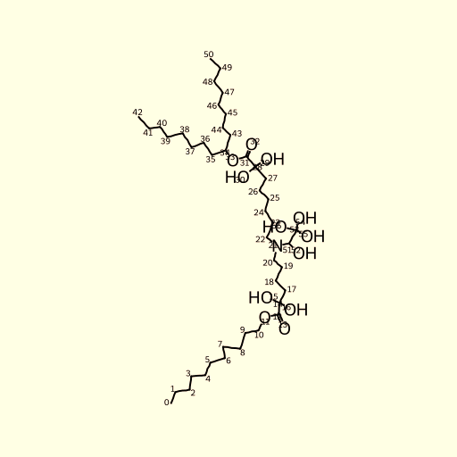 CCCCCCCCCCCOC(=O)C(O)(O)CCCCN(CCCCCCC(O)(O)C(=O)OC(CCCCCCCC)CCCCCCCC)C(O)C(O)(O)O